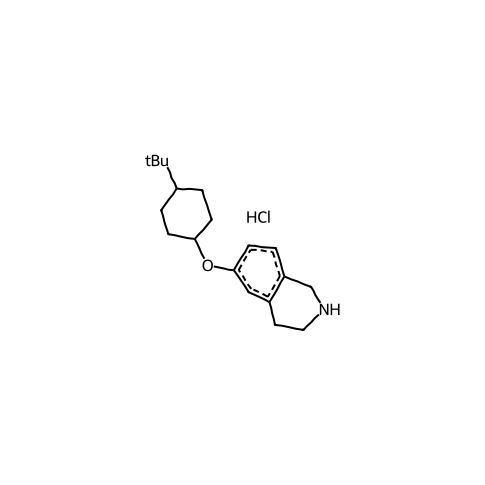 CC(C)(C)C1CCC(Oc2ccc3c(c2)CCNC3)CC1.Cl